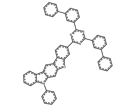 c1ccc(-c2cccc(-c3nc(-c4cccc(-c5ccccc5)c4)nc(-c4ccc5c(c4)oc4cc6c(cc45)c4ccccc4n6-c4ccccc4)n3)c2)cc1